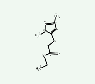 CCOC(=O)CCc1cc(C)nn1C